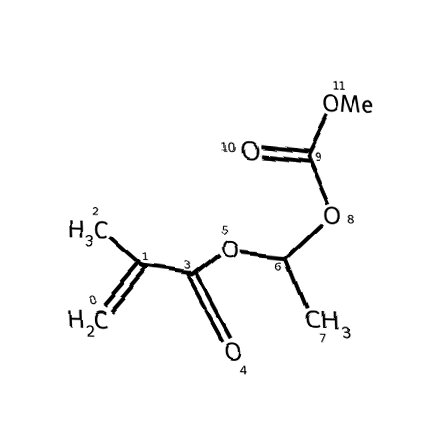 C=C(C)C(=O)OC(C)OC(=O)OC